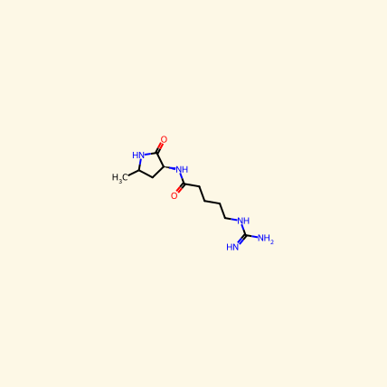 CC1C[C@H](NC(=O)CCCCNC(=N)N)C(=O)N1